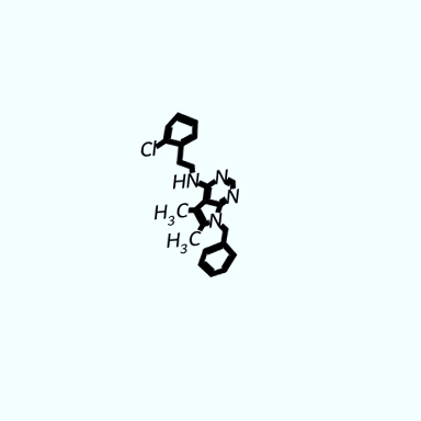 Cc1c(C)n(Cc2ccccc2)c2ncnc(NCCc3ccccc3Cl)c12